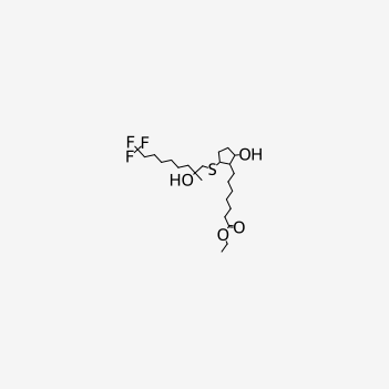 CCOC(=O)CCCCCCC1C(O)CCC1SCC(C)(O)CCCCCCC(F)(F)F